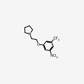 O=[N+]([O-])c1cc(OCCN2CCCC2)cc(C(F)(F)F)c1